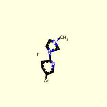 CC(=O)c1ccc(-n2cc[n+](C)c2)nc1.[I-]